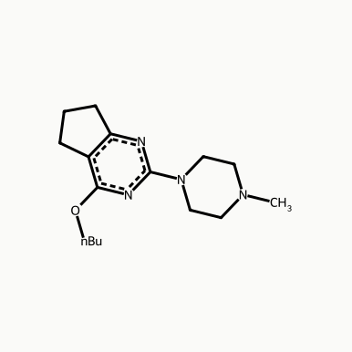 CCCCOc1nc(N2CCN(C)CC2)nc2c1CCC2